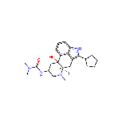 CN(C)C(=O)NC1CN(C)[C@@H]2Cc3c(C4CCCC4)[nH]c4cccc(c34)C2(O)C1